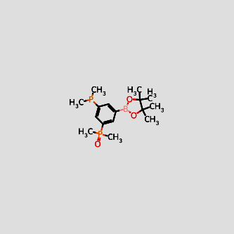 CP(C)c1cc(B2OC(C)(C)C(C)(C)O2)cc(P(C)(C)=O)c1